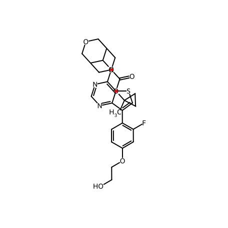 CC1(OC(=O)N2CC3COCC(C2)C3Oc2ncnc3c(-c4ccc(OCCO)cc4F)csc23)CC1